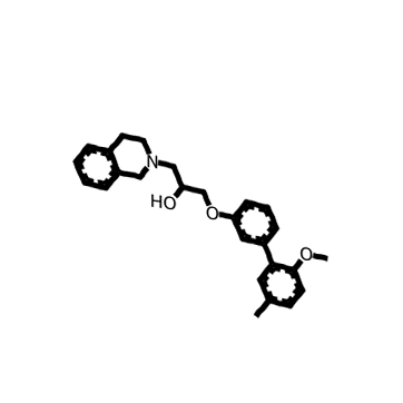 COc1ccc(C)cc1-c1cccc(OCC(O)CN2CCc3ccccc3C2)c1